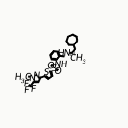 C[C@@H](CC1CCCCCC1)NCc1ccccc1NS(=O)(=O)c1ccc(-c2cc(C(F)(F)F)n(C)n2)s1